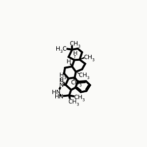 CC1(C)CC[C@]2(C)CC[C@]3(C)[C@H](CCC4[C@@]5(C)NNNC(C)(C)C5c5ccccc5[C@]43C)[C@H]2C1